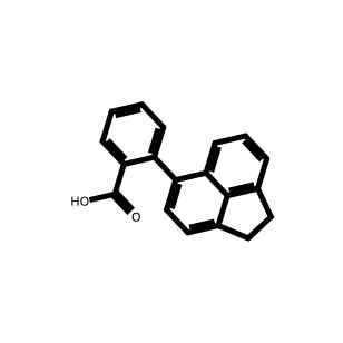 O=C(O)c1ccccc1-c1ccc2c3c(cccc13)CC2